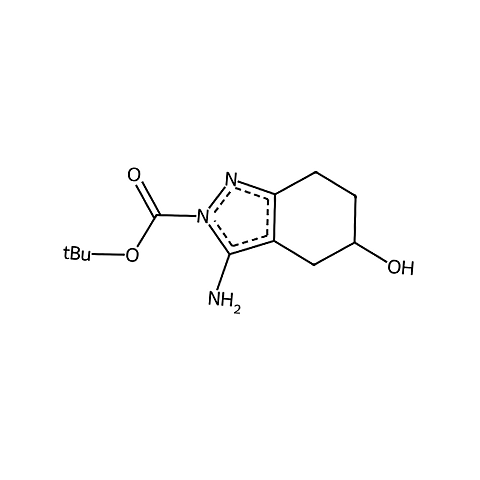 CC(C)(C)OC(=O)n1nc2c(c1N)CC(O)CC2